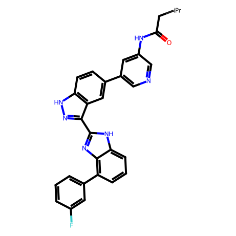 CC(C)CC(=O)Nc1cncc(-c2ccc3[nH]nc(-c4nc5c(-c6cccc(F)c6)cccc5[nH]4)c3c2)c1